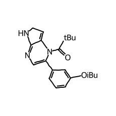 CC(C)COc1cccc(C2=CN=C3NCC=C3N2C(=O)C(C)(C)C)c1